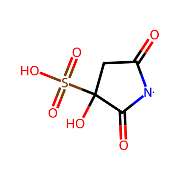 O=C1CC(O)(S(=O)(=O)O)C(=O)[N]1